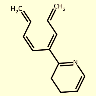 C=C/C=C\C(=C/C=C)C1=NC=CCC1